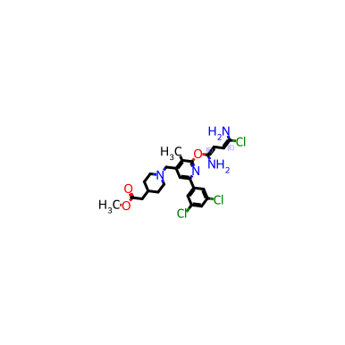 COC(=O)CC1CCN(Cc2cc(-c3cc(Cl)cc(Cl)c3)nc(O/C(N)=C/C=C(\N)Cl)c2C)CC1